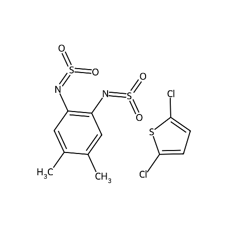 Cc1cc(N=S(=O)=O)c(N=S(=O)=O)cc1C.Clc1ccc(Cl)s1